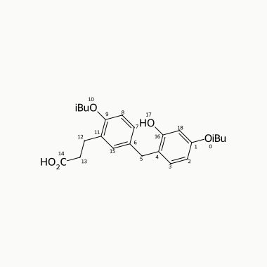 CC(C)COc1ccc(Cc2ccc(OCC(C)C)c(CCC(=O)O)c2)c(O)c1